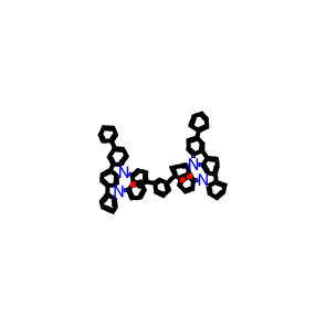 c1ccc(-c2ccc3c(c2)c2ccc4c5ccccc5n(-c5ccccc5)c4c2n3-c2ccc(-c3cccc(-c4ccc(-n5c6ccc(-c7ccccc7)cc6c6ccc7c8ccccc8n(-c8ccccc8)c7c65)cc4)c3)cc2)cc1